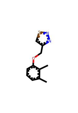 Cc1cccc(OCc2csnn2)c1C